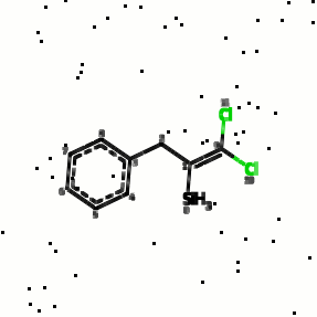 [SiH3]C(Cc1ccccc1)=C(Cl)Cl